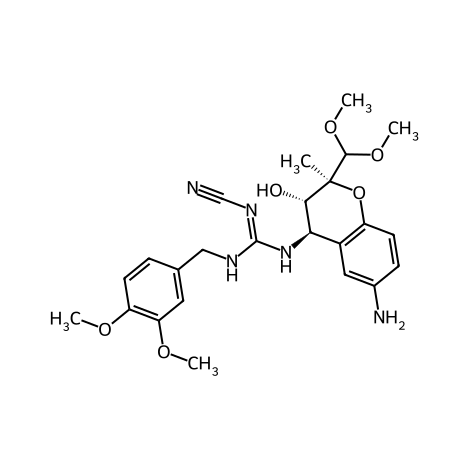 COc1ccc(CNC(=NC#N)N[C@@H]2c3cc(N)ccc3O[C@](C)(C(OC)OC)[C@H]2O)cc1OC